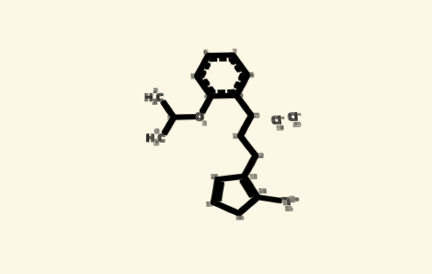 CC(C)Oc1ccccc1CCCC1=[C]([Ti+2])CC=C1.[Cl-].[Cl-]